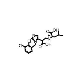 CC(C)CC(NCC(C(=O)O)c1cncn1Cc1cccc(Cl)c1Cl)C(=O)O